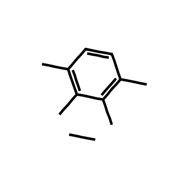 CC.Cc1ccc(C)c(C)c1C